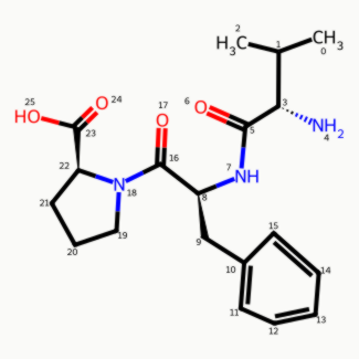 CC(C)[C@H](N)C(=O)N[C@@H](Cc1ccccc1)C(=O)N1CCC[C@H]1C(=O)O